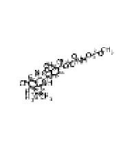 COCCOCCNC(=O)OCOC(=O)c1ccc(NC(=O)[C@H](/N=C/CC(C)(C)C)[C@@H](C#N)c2cccc(Cl)c2F)c(OC)c1